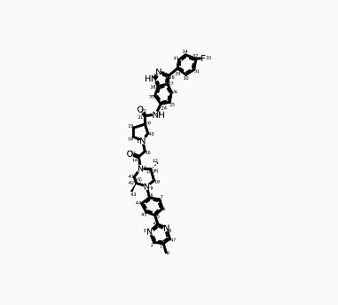 Cc1cnc(-c2ccc(N3C[C@@H](C)N(C(=O)CN4CCC(C(=O)Nc5ccc6c(-c7ccc(F)cc7)n[nH]c6c5)C4)C[C@@H]3C)cc2)nc1